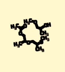 COC(C)COC(C)COC(C)=O.COCC(C)O